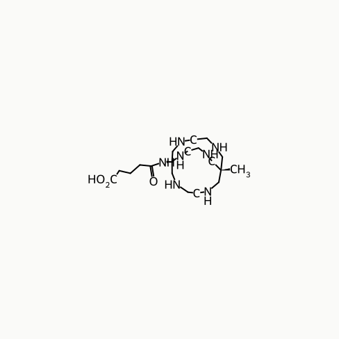 C[C@]12CNCCNC[C@](NC(=O)CCCC(=O)O)(CNCCNC1)NCCNC2